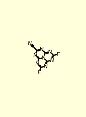 N#CC1=NC2=NC(F)=NC3=NC(F)=NC(=N1)N32